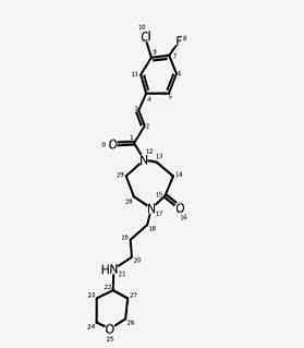 O=C(/C=C/c1ccc(F)c(Cl)c1)N1CCC(=O)N(CCCNC2CCOCC2)CC1